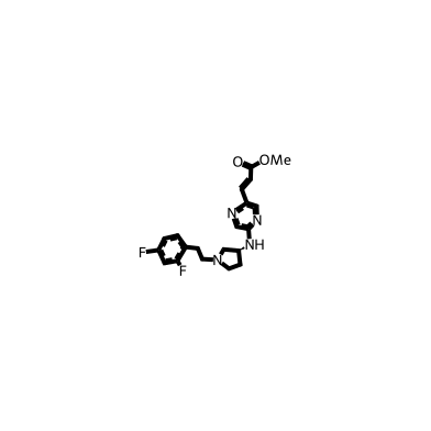 COC(=O)/C=C/c1cnc(N[C@@H]2CCN(CCc3ccc(F)cc3F)C2)cn1